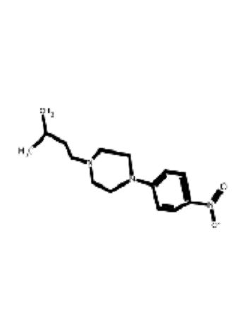 CC(C)CCN1CCN(c2ccc([N+](=O)[O-])cc2)CC1